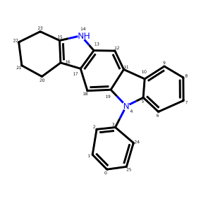 c1ccc(-n2c3ccccc3c3cc4[nH]c5c(c4cc32)CCCC5)cc1